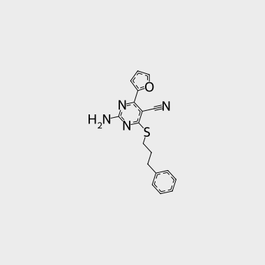 N#Cc1c(SCCCc2ccccc2)nc(N)nc1-c1ccco1